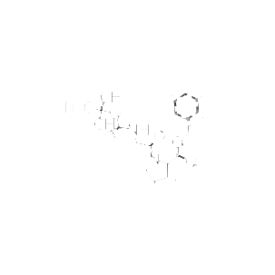 CC(C)(C)OC(=O)NCC(=O)N1CCCC1C(=O)OCc1ccccc1